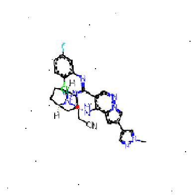 Cn1cc(-c2cc3c(N[C@@H]4C[C@H]5CC[C@@H](C4)N5CCC#N)c(/C(N)=N/c4cc(F)ccc4Cl)cnn3c2)cn1